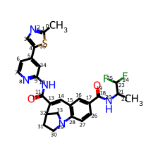 Cc1ncc(-c2ccnc(NC(=O)C3=Cc4cc(C(=O)NC(C)C(F)F)ccc4N4CCC3C4)c2)s1